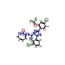 O=c1nccccc1Nc1nc2c(Br)cccc2c2nc(-c3ccc(Cl)cc3OC(F)F)nn12